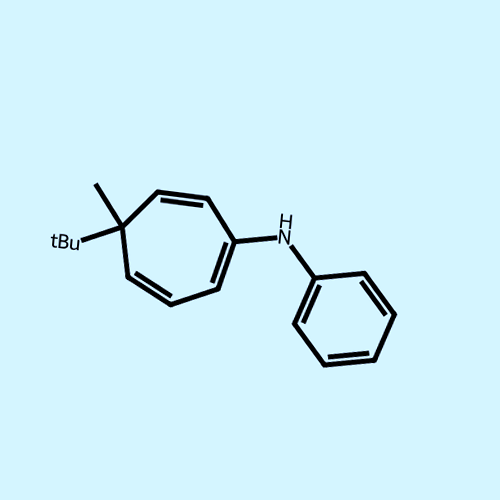 CC(C)(C)C1(C)C=CC=C(Nc2ccccc2)C=C1